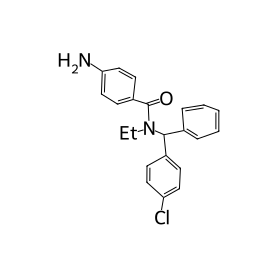 CCN(C(=O)c1ccc(N)cc1)C(c1ccccc1)c1ccc(Cl)cc1